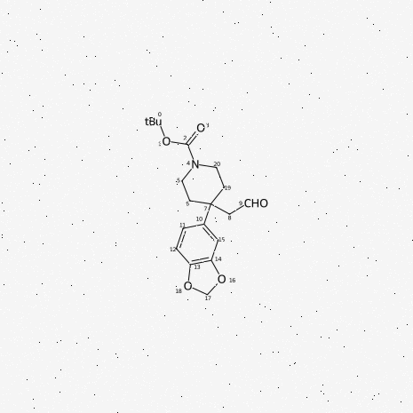 CC(C)(C)OC(=O)N1CCC(CC=O)(c2ccc3c(c2)OCO3)CC1